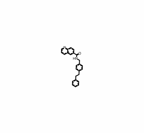 O=C(NCc1ccc(CCc2ccccc2)cc1)c1ccc2ncccc2c1